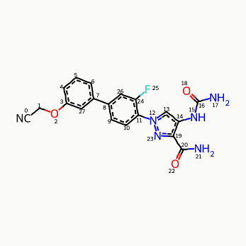 N#CCOc1cccc(-c2ccc(-n3cc(NC(N)=O)c(C(N)=O)n3)c(F)c2)c1